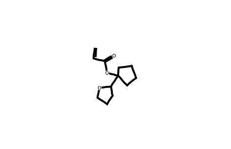 C=CC(=O)OC1(C2CCCO2)CCCC1